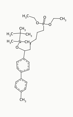 CCOP(=O)(CCCCCC(O[Si](C)(C)C(C)(C)C)c1ccc(-c2ccc(C)cc2)cc1)OCC